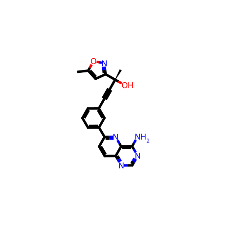 Cc1cc([C@](C)(O)C#Cc2cccc(-c3ccc4ncnc(N)c4n3)c2)no1